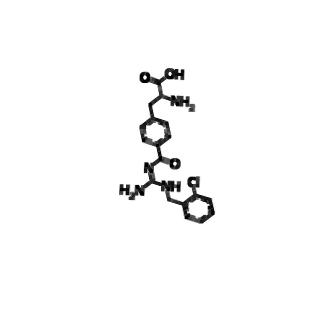 NC(=NC(=O)c1ccc(CC(N)C(=O)O)cc1)NCc1ccccc1Cl